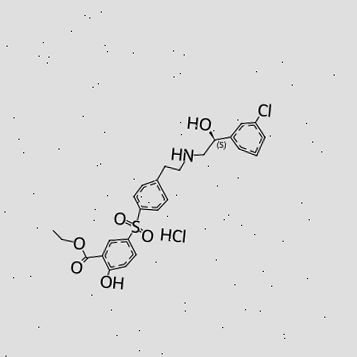 CCOC(=O)c1cc(S(=O)(=O)c2ccc(CCNC[C@@H](O)c3cccc(Cl)c3)cc2)ccc1O.Cl